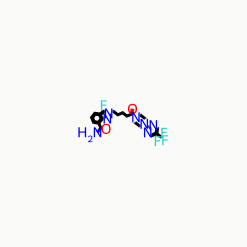 NC(=O)c1cccc2c(F)n(CCCCC(=O)N3CCN(c4ncc(C(F)(F)F)cn4)CC3)nc12